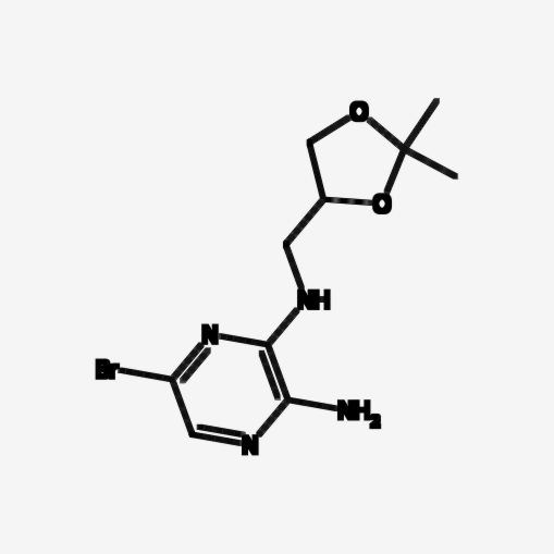 CC1(C)OCC(CNc2nc(Br)cnc2N)O1